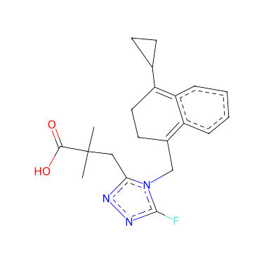 CC(C)(Cc1nnc(F)n1CC1=c2ccccc2=C(C2CC2)CC1)C(=O)O